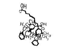 CC1(C)CC(C(CCCCCCCC(=O)O)(C(=O)O)C2CC(C)(C)N(OC3CC=CCC3)C(C)(C)C2)CC(C)(C)N1OC1CC=CCC1